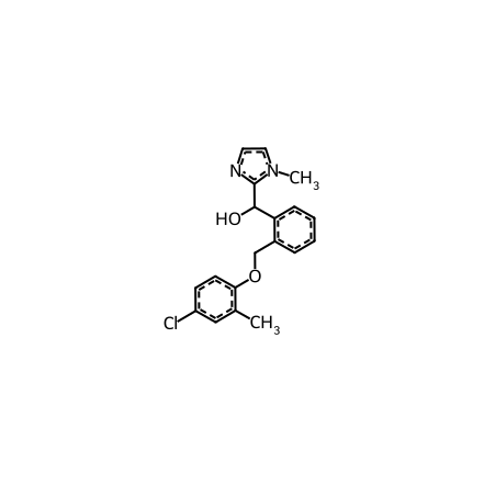 Cc1cc(Cl)ccc1OCc1ccccc1C(O)c1nccn1C